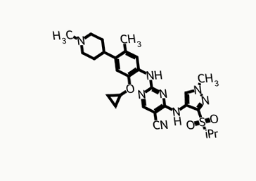 Cc1cc(Nc2ncc(C#N)c(Nc3cn(C)nc3S(=O)(=O)C(C)C)n2)c(OC2CC2)cc1C1CCN(C)CC1